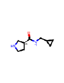 O=C(NCC1CC1)[C@H]1CCNC1